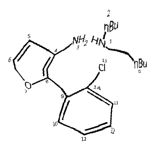 CCCCNCCCC.Nc1ccoc1-c1ccccc1Cl